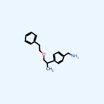 C[C](COCCc1ccccc1)c1ccc(CN)cc1